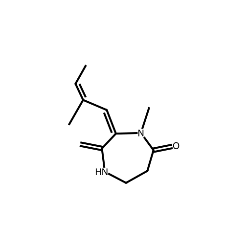 C=C1NCCC(=O)N(C)/C1=C/C(C)=C\C